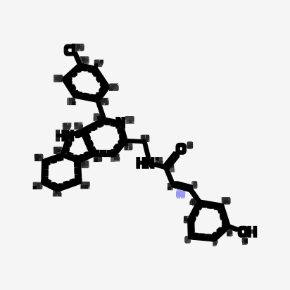 O=C(/C=C/c1cccc(O)c1)NCc1cc2c([nH]c3ccccc32)c(-c2ccc(Cl)cc2)n1